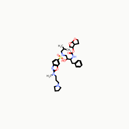 CC(C)CN(CC(O)C(Cc1ccccc1)NC(=O)OC1COC2OCCC12)S(=O)(=O)c1ccc2nc(N(C)CCCN3CCCC3)oc2c1